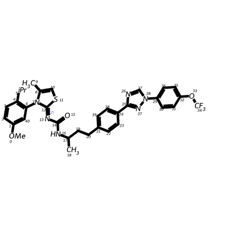 COc1ccc(C(C)C)c(-n2c(C)cs/c2=N\C(=O)NC(C)CCc2ccc(-c3ncn(-c4ccc(OC(F)(F)F)cc4)n3)cc2)c1